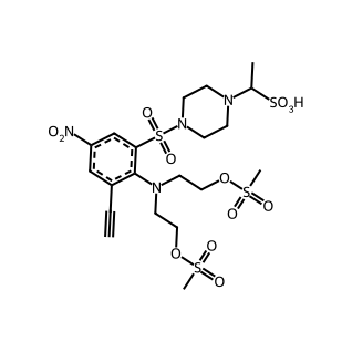 C#Cc1cc([N+](=O)[O-])cc(S(=O)(=O)N2CCN(C(C)S(=O)(=O)O)CC2)c1N(CCOS(C)(=O)=O)CCOS(C)(=O)=O